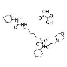 O=C(NCCCCCCS(=O)(=O)N(OCCN1CCOCC1)C1CCCCC1)Nc1ccncc1.O=C(O)C(=O)O